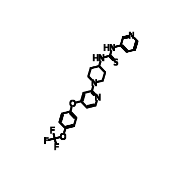 FC(F)(F)Oc1ccc(Oc2ccnc(N3CCC(NC(=S)Nc4cccnc4)CC3)c2)cc1